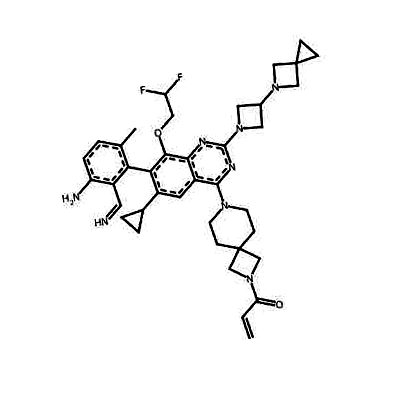 C=CC(=O)N1CC2(CCN(c3nc(N4CC(N5CC6(CC6)C5)C4)nc4c(OCC(F)F)c(-c5c(C)ccc(N)c5C=N)c(C5CC5)cc34)CC2)C1